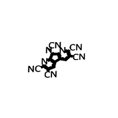 N#CN=C1c2nc(C#N)c(C#N)cc2-c2cc(C#N)c(C#N)nc21